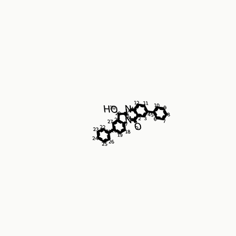 O=c1c2cc(-c3ccccc3)ccc2nc2n1-c1ccc(-c3ccccc3)cc1C2O